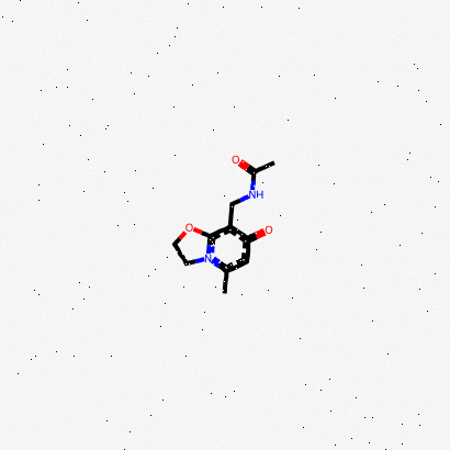 CC(=O)NCc1c2n(c(C)cc1=O)CCO2